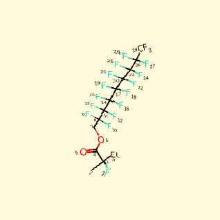 CCC(C)(F)C(=O)OCC(F)(F)C(F)(F)C(F)(F)C(F)(F)C(F)(F)C(F)(F)C(F)(F)C(F)(F)F